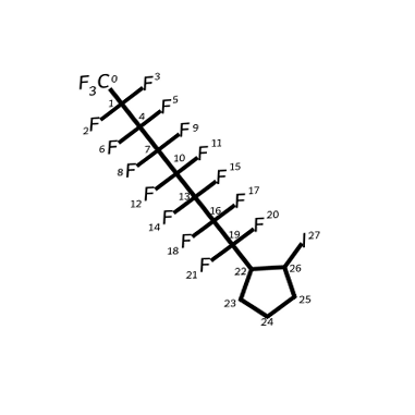 FC(F)(F)C(F)(F)C(F)(F)C(F)(F)C(F)(F)C(F)(F)C(F)(F)C(F)(F)C1CCCC1I